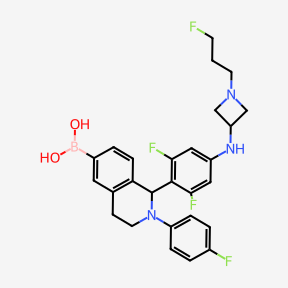 OB(O)c1ccc2c(c1)CCN(c1ccc(F)cc1)C2c1c(F)cc(NC2CN(CCCF)C2)cc1F